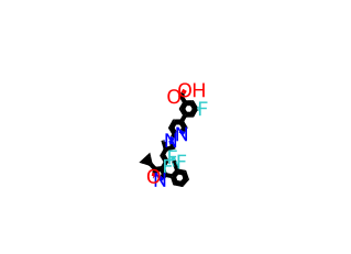 O=C(O)c1cc(F)cc(-c2ccc(N3CC(/C=C/c4c(-c5ccccc5C(F)(F)F)noc4C4CC4)C3)nc2)c1